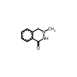 CN1[C]c2ccccc2C(=O)N1